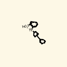 O=S(=O)(O)c1ccccc1Pc1ccc(-c2ccccc2)cc1